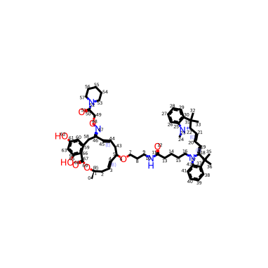 C[C@@H]1C/C=C/C(OCCCNC(=O)CCCCN2/C(=C\C=C\C3=[N+](C)c4ccccc4C3(C)C)C(C)(C)c3ccccc32)C/C=C/C(=NOCC(=O)N2CCCCC2)Cc2cc(O)cc(O)c2C(=O)O1